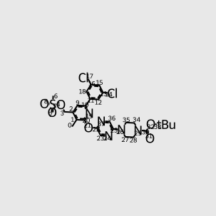 Cc1c(COS(C)(=O)=O)cc(-c2cc(Cl)cc(Cl)c2)nc1Oc1cnc(N2CCN(C(=O)OC(C)(C)C)CC2)cn1